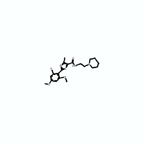 COc1cc(F)c(-c2nc(C)c(C(=O)NCCN3CCCCC3)s2)c(OC)c1